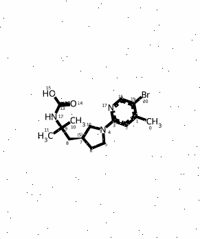 Cc1cc(N2CC[C@@H](CC(C)(C)NC(=O)O)C2)ncc1Br